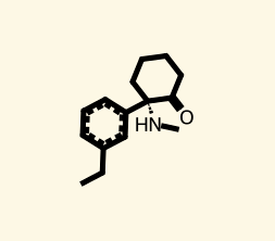 CCc1cccc([C@@]2(NC)CCCCC2=O)c1